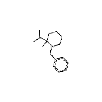 CC(C)C1(C)CCCCN1Cc1ccccc1